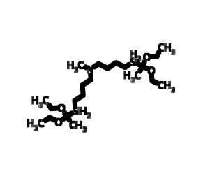 CCOC(C)(OCC)[SiH2]CCCCN(C)CCCC[SiH2]C(C)(OCC)OCC